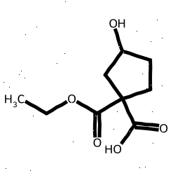 CCOC(=O)C1(C(=O)O)CCC(O)C1